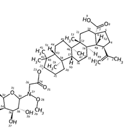 C=C(C)[C@@H]1CC[C@]2(C(=O)O)CC[C@]3(C)[C@H](CC[C@@H]4[C@@]5(C)CC[C@H](OC(=O)CN(OC)C6O[C@H](C)[C@H](O)[C@H](O)[C@H]6O)C(C)(C)[C@@H]5CC[C@]43C)[C@@H]12